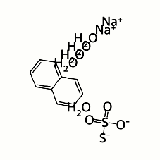 O.O.O.O.O.O=S(=O)([O-])[S-].[Na+].[Na+].c1ccc2ccccc2c1